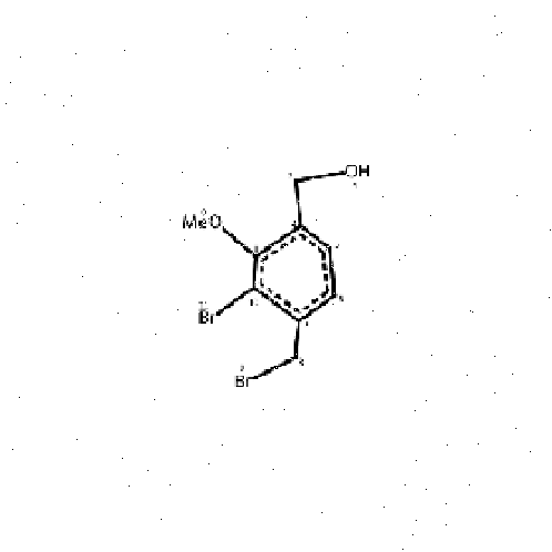 COc1c(CO)ccc(CBr)c1Br